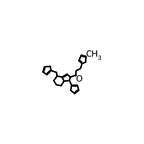 CC1=CC=C(CCC(=O)C2C=C3C(CC4=CC=CC4)CCCC3C2C2=CC=CC2)C1